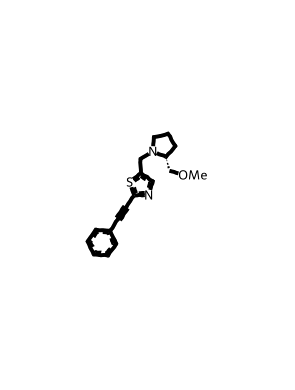 COC[C@H]1CCCN1Cc1cnc(C#Cc2ccccc2)s1